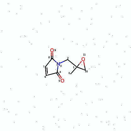 CC1(CN2C(=O)C=CC2=O)CO1